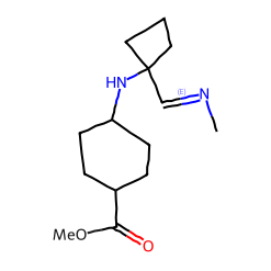 C/N=C/C1(NC2CCC(C(=O)OC)CC2)CCC1